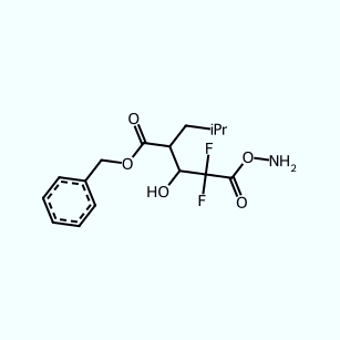 CC(C)CC(C(=O)OCc1ccccc1)C(O)C(F)(F)C(=O)ON